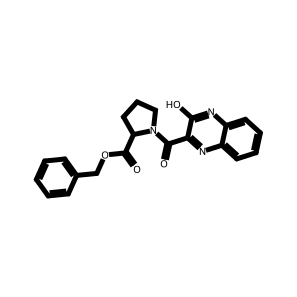 O=C(OCc1ccccc1)C1CCCN1C(=O)c1nc2ccccc2nc1O